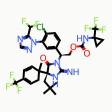 CC(C)(C)C[C@]1(C2(C)C=CC(C(F)(F)F)=CC2)NC(=N)N([C@H](COC(=O)NC2(C(F)(F)F)CC2)c2ccc(Cl)c(-n3ncnc3C(F)F)c2)C1=O